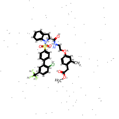 COC(=O)Cc1ccc(OCCNC(=O)[C@@H]2Cc3ccccc3N2S(=O)(=O)c2ccc(-c3cc(C(F)(F)F)ccc3Cl)cc2)cc1C